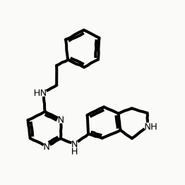 c1ccc(CCNc2ccnc(Nc3ccc4c(c3)CNCC4)n2)cc1